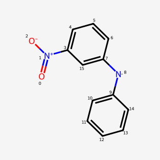 O=[N+]([O-])c1cccc([N]c2ccccc2)c1